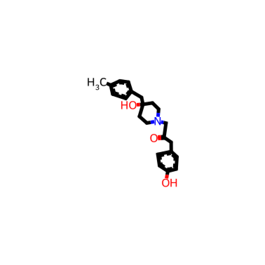 Cc1ccc(CC2(O)CCN(CC(=O)Cc3ccc(O)cc3)CC2)cc1